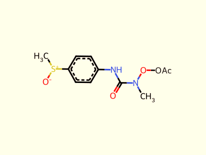 CC(=O)OON(C)C(=O)Nc1ccc([S+](C)[O-])cc1